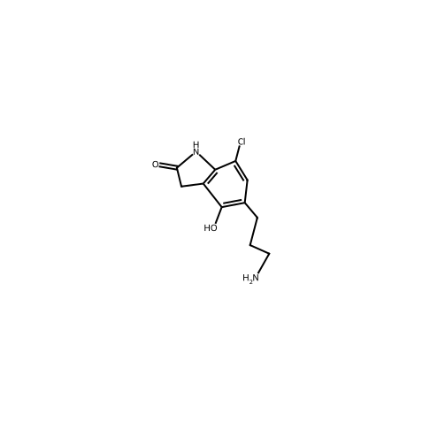 NCCCc1cc(Cl)c2c(c1O)CC(=O)N2